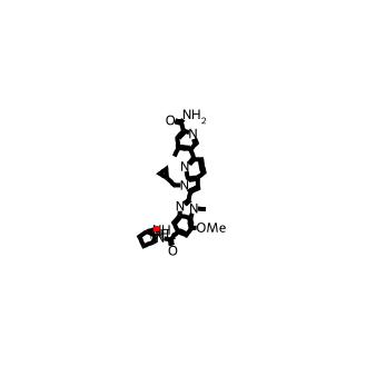 COc1cc(C(=O)N2CC3CCC2[C@@H]3N)cc2nc(-c3cc4ccc(-c5cnc(C(N)=O)cc5C)nc4n3CC3CC3)n(C)c12